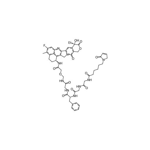 CC[C@@]1(O)C(=O)OCc2c1cc1n(c2=O)Cc2c-1nc1cc(F)c(C)c3c1c2[C@@H](NC(=O)COCNC(=O)CNC(=O)C(Cc1ccccc1)NC(=O)CNC(=O)CNC(=O)CCCCCN1CC=CC1=O)CC3